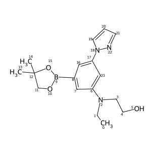 CCN(CCO)c1cc(B2OCC(C)(C)O2)cc(-n2cccn2)c1